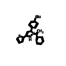 C=C(c1ccccc1)N1NC(c2cccs2)=CC1c1ccc(C(C)(C)C)cc1